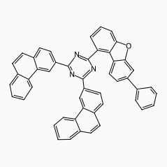 c1ccc(-c2ccc3c(c2)oc2cccc(-c4nc(-c5ccc6ccc7ccccc7c6c5)nc(-c5ccc6ccc7ccccc7c6c5)n4)c23)cc1